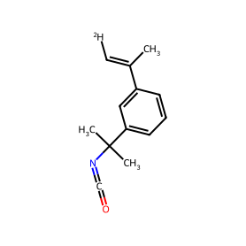 [2H]C=C(C)c1cccc(C(C)(C)N=C=O)c1